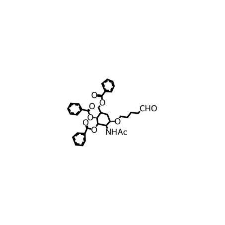 CC(=O)NC1C(OC(=O)c2ccccc2)[C@@H](OC(=O)c2ccccc2)C(COC(=O)c2ccccc2)C[C@H]1OCCCCC=O